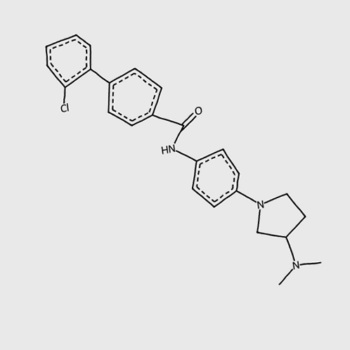 CN(C)C1CCN(c2ccc(NC(=O)c3ccc(-c4ccccc4Cl)cc3)cc2)C1